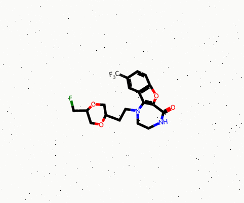 O=C1NCCN(CCC2COC(CF)CO2)c2c1oc1ccc(C(F)(F)F)cc21